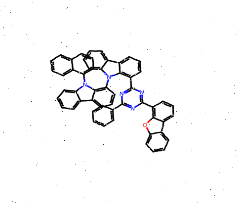 c1ccc(-c2nc(-c3cccc4c3oc3ccccc34)nc(-c3cccc4c5ccccc5n(-c5cccc6c7ccccc7n(-c7cccc8ccccc78)c56)c34)n2)cc1